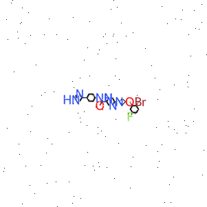 O=C(Nc1ccc(-c2c[nH]cn2)cc1)c1cnc(N2CC(Oc3cc(F)ccc3Br)C2)cn1